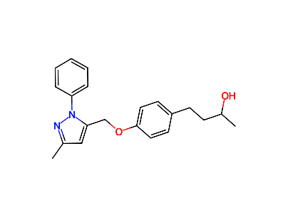 Cc1cc(COc2ccc(CCC(C)O)cc2)n(-c2ccccc2)n1